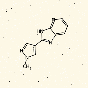 Cn1cc(-c2nc3cccnc3[nH]2)cn1